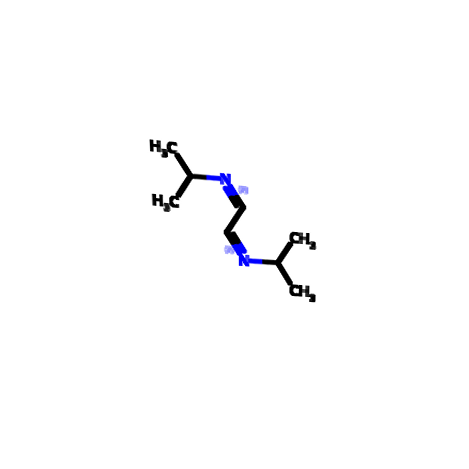 CC(C)/N=C\C=N/C(C)C